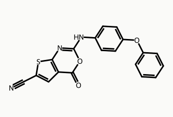 N#Cc1cc2c(=O)oc(Nc3ccc(Oc4ccccc4)cc3)nc2s1